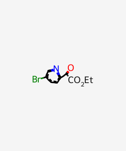 CCOC(=O)C(=O)c1ccc(Br)cn1